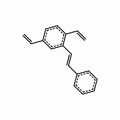 C=Cc1ccc(C=C)c(C=Cc2ccccc2)c1